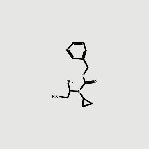 CCC(N)N(C(=O)OCc1ccccc1)C1CC1